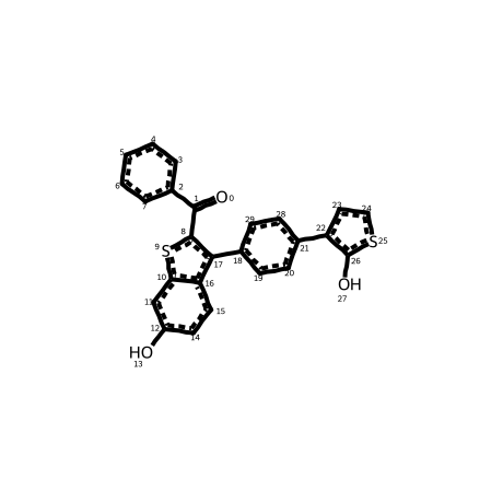 O=C(c1ccccc1)c1sc2cc(O)ccc2c1-c1ccc(-c2ccsc2O)cc1